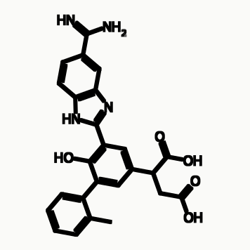 Cc1ccccc1-c1cc(C(CC(=O)O)C(=O)O)cc(-c2nc3cc(C(=N)N)ccc3[nH]2)c1O